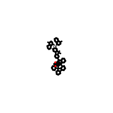 Cc1ccc(N(c2ccc3c(c2)C(C)(C)c2cc(-c4c5ccccc5c(-c5cccc6c5C(c5ccccc5)(c5ccccc5)c5ccccc5-6)c5ccccc45)ccc2-3)c2ccc(C)c3ccccc23)c2ccccc12